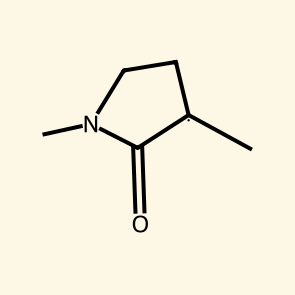 C[C]1CCN(C)C1=O